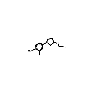 CC(=O)CNC1CCN(c2ccc(N)c(C)c2)C1